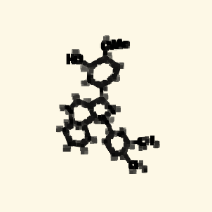 COc1ccc(-c2nn(-c3ccc(C)c(C)c3)c3c2cnc2ccccc23)cc1O